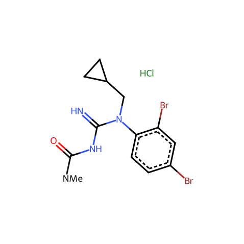 CNC(=O)NC(=N)N(CC1CC1)c1ccc(Br)cc1Br.Cl